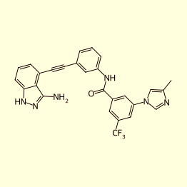 Cc1cn(-c2cc(C(=O)Nc3cccc(C#Cc4cccc5[nH]nc(N)c45)c3)cc(C(F)(F)F)c2)cn1